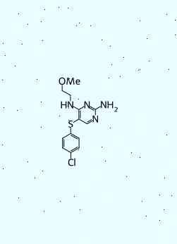 COCCNc1nc(N)ncc1Sc1ccc(Cl)cc1